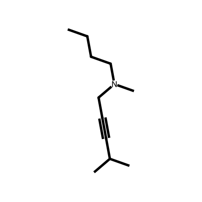 CCCCN(C)CC#CC(C)C